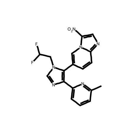 Cc1cccc(-c2ncn(CC(F)F)c2-c2ccc3ncc([N+](=O)[O-])n3c2)n1